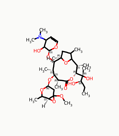 CC[C@@H](O)[C@@](C)(O)[C@@H]1OC(=O)[C@H](C)[C@@H](O[C@H]2CC3(OC)O[C@H]3C(C)O2)[C@H](C)[C@@H](O[C@@H]2OC=CC(N(C)C)C2O)[C@@]2(C)CC(C)C(O2)[C@@H]1C